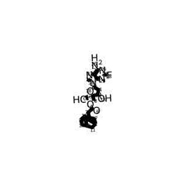 C#C[C@]1(COC(=O)CC23CC4CC(CC(C4)C2)C3)O[C@@H](n2cnc3c(N)nc(F)nc32)C[C@@H]1O